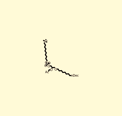 CCCCCCCCCCCCCCCCCCOCC(COP(=O)([O-])OCCCCCCCCCC[N+](C)(C)C)OCC(C)=O